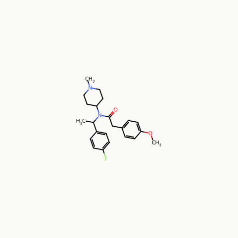 COc1ccc(CC(=O)N(C2CCN(C)CC2)C(C)c2ccc(F)cc2)cc1